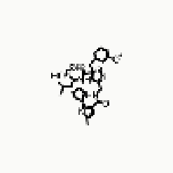 COc1cccc(CC2(C(=O)NC(CC(C)C)B(O)O)CC(CNC(=O)c3cc(C)nn3C3CCCC3)=NO2)c1